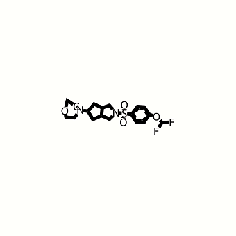 O=S(=O)(c1ccc(OC(F)F)cc1)N1CC2CC(N3CCOCC3)CC2C1